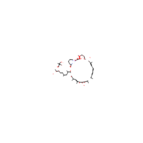 COC1CC2CCC(C)C(O)(O2)C(=O)C(=O)N2CCCCC2C(=O)OC(C(C)CC(C)CCC(OC(=O)C(C)(CO)CO)C(C)OC)CC(=O)C(C)/C=C(\C)C(O)C(OC)C(=O)C(C)CC(C)/C=C/C=C/C=C/1C